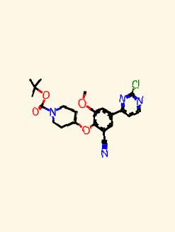 COc1cc(-c2ccnc(Cl)n2)cc(C#N)c1OC1CCN(C(=O)OC(C)(C)C)CC1